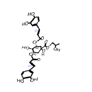 CC(O)COC(=O)[C@]1(O)C[C@@H](OC(=O)/C=C/c2ccc(O)c(O)c2)[C@@H](O)[C@H](OC(=O)/C=C/c2ccc(O)c(O)c2)C1